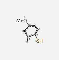 COc1ccc(S)c(C)c1